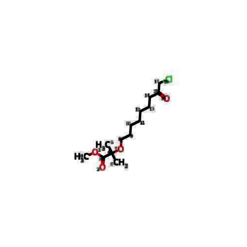 COC(=O)C(C)(C)OCCCCCCCC(=O)CCl